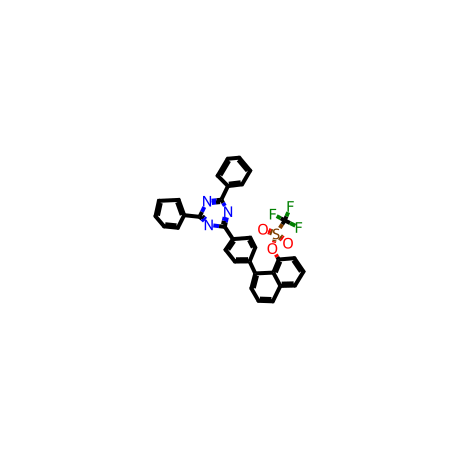 O=S(=O)(Oc1cccc2cccc(-c3ccc(-c4nc(-c5ccccc5)nc(-c5ccccc5)n4)cc3)c12)C(F)(F)F